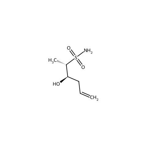 C=CC[C@@H](O)[C@H](C)S(N)(=O)=O